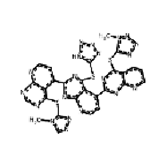 Cn1cnnc1Sc1ncnc2nccc(-c3nc(Sc4nnn[nH]4)c4c(-c5nc(Sc6nnnn6C)c6cccnc6n5)ccnc4n3)c12